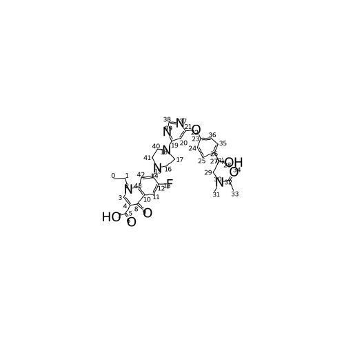 CCn1cc(C(=O)O)c(=O)c2cc(F)c(N3CCN(c4cc(Oc5ccc([C@@H](O)CN(C)C(C)=O)cc5)ncn4)CC3)cc21